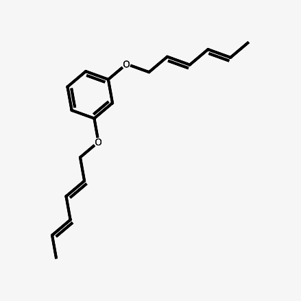 CC=CC=CCOc1cccc(OCC=CC=CC)c1